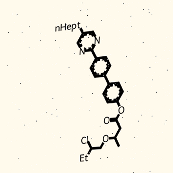 CCCCCCCc1cnc(-c2ccc(-c3ccc(OC(=O)CC(C)OCC(Cl)CC)cc3)cc2)nc1